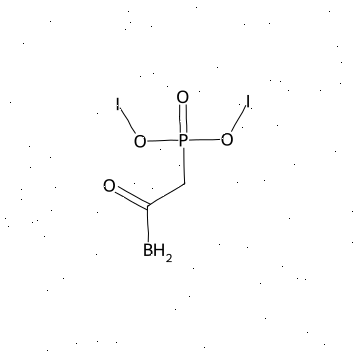 BC(=O)CP(=O)(OI)OI